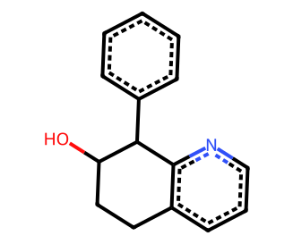 OC1CCc2cccnc2C1c1ccccc1